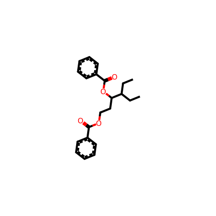 CCC(CC)C(CCOC(=O)c1ccccc1)OC(=O)c1ccccc1